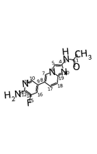 CC(=O)Nc1cn2cc(-c3cnc(N)c(F)c3)ccc2n1